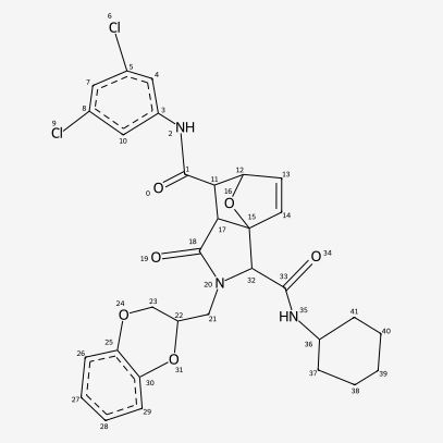 O=C(Nc1cc(Cl)cc(Cl)c1)C1C2C=CC3(O2)C1C(=O)N(CC1COc2ccccc2O1)C3C(=O)NC1CCCCC1